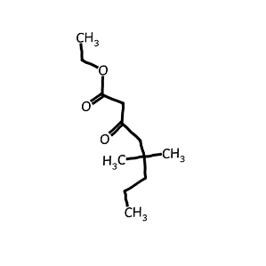 CCCC(C)(C)CC(=O)CC(=O)OCC